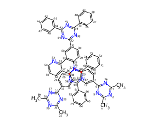 Cc1nc(C)nc(-c2ccc3c(c2)c2cc(-c4nc(C)nc(C)n4)ccc2n3-c2ccc(-c3nc(-c4ccccc4)nc(-c4ccccc4)n3)cc2-c2ncccc2-c2nc(-c3ccccc3)nc(-c3ccccc3)n2)n1